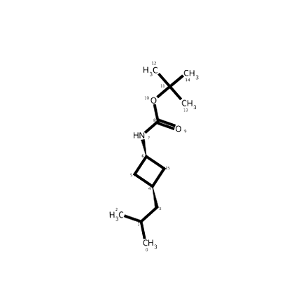 CC(C)C[C@H]1C[C@@H](NC(=O)OC(C)(C)C)C1